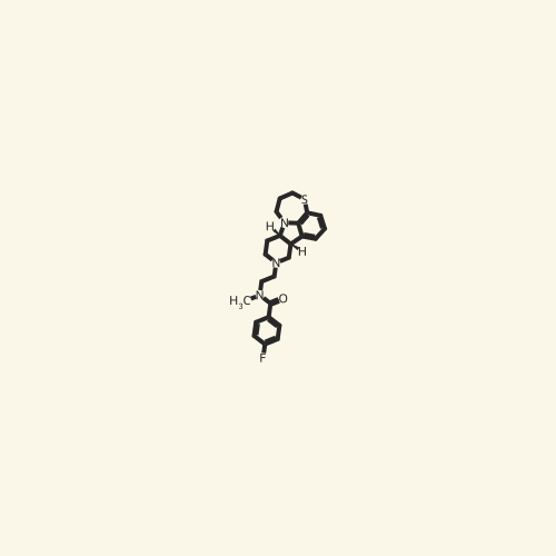 CN(CCN1CC[C@H]2[C@@H](C1)c1cccc3c1N2CCCS3)C(=O)c1ccc(F)cc1